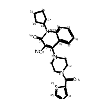 N#Cc1c(N2CCN(C(=O)c3cccs3)CC2)c2ccccc2n(C2CCCC2)c1=O